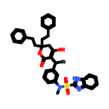 CCC(C1=C(O)CC(CCc2ccccc2)(CCc2ccccc2)OC1=O)c1cccc(N(C)S(=O)(=O)c2nc3ccccc3[nH]2)c1